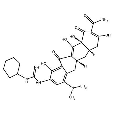 CN(C)c1cc(NC(=N)NC2CCCCC2)c(O)c2c1C[C@H]1C[C@H]3CC(O)=C(C(N)=O)C(=O)[C@@]3(O)C(O)=C1C2=O